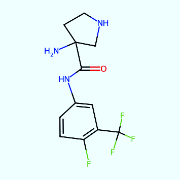 NC1(C(=O)Nc2ccc(F)c(C(F)(F)F)c2)CCNC1